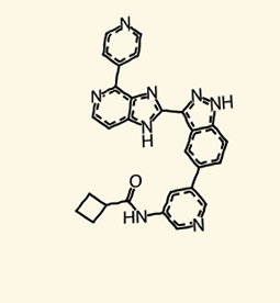 O=C(Nc1cncc(-c2ccc3[nH]nc(-c4nc5c(-c6ccncc6)nccc5[nH]4)c3c2)c1)C1CCC1